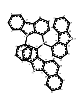 c1ccc(-n2c3ccccc3c3cccc(N(c4cccc5oc6ccccc6c45)c4cccc5oc6c7ccccc7ccc6c45)c32)cc1